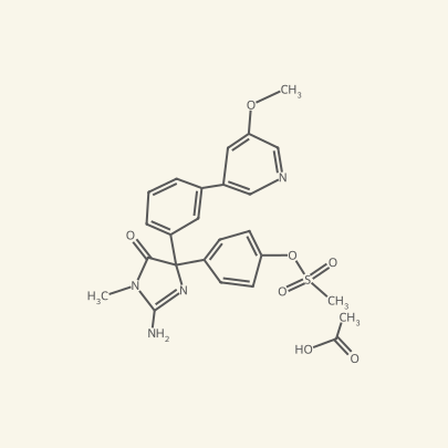 CC(=O)O.COc1cncc(-c2cccc(C3(c4ccc(OS(C)(=O)=O)cc4)N=C(N)N(C)C3=O)c2)c1